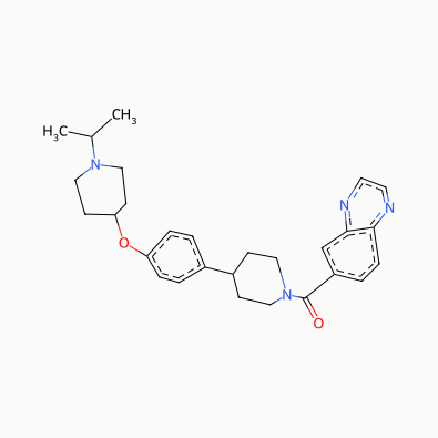 CC(C)N1CCC(Oc2ccc(C3CCN(C(=O)c4ccc5nccnc5c4)CC3)cc2)CC1